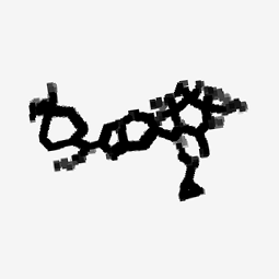 BC1(B)NC(=O)N([C@H](COC2CC2)c2cnn3cc([C@@H](N)C4CCC(F)(F)CC4)nc3c2)C(B)(B)C1(F)F